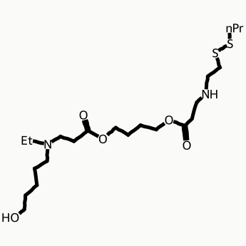 CCCSSCCNCCC(=O)OCCCCOC(=O)CCN(CC)CCCCCO